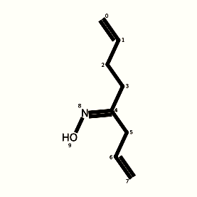 C=CCCC(CC=C)=NO